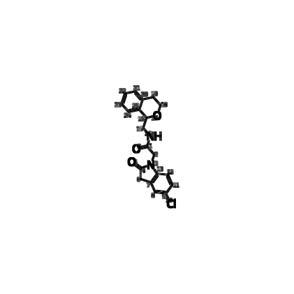 O=C(CN1C(=O)Cc2cc(Cl)ccc21)NCC1OCCc2ccccc21